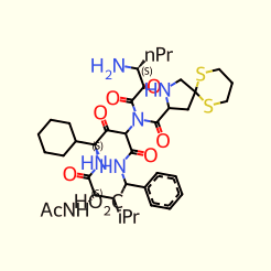 CCC[C@H](N)C(=O)C(=O)N(C(=O)C1CC2(CN1)SCCCS2)C(C(=O)NC(C(=O)O)c1ccccc1)C(=O)[C@@H](NC(=O)[C@H](CC(C)C)NC(C)=O)C1CCCCC1